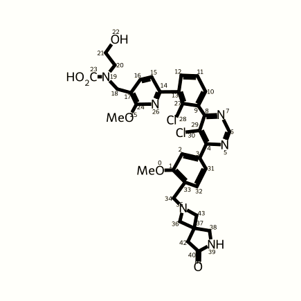 COc1cc(-c2ncnc(-c3cccc(-c4ccc(CN(CCO)C(=O)O)c(OC)n4)c3Cl)c2Cl)ccc1CN1CC2(CNC(=O)C2)C1